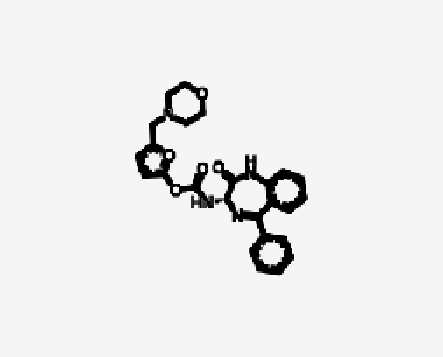 O=C(N[C@H]1N=C(c2ccccc2)c2ccccc2NC1=O)Oc1ccc(CN2CCOCC2)o1